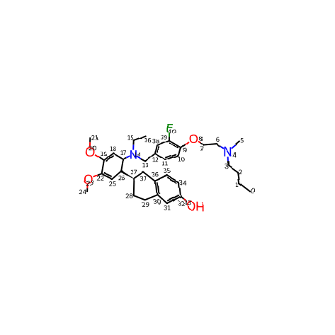 CCCCN(C)CCOc1ccc(CN(CC)C2C=C(OC)C(OC)=CC2[C@@H]2CCc3cc(O)ccc3C2)cc1F